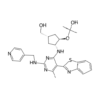 Cc1nc(NCc2ccncc2)nc(N[C@@H]2C[C@H](CO)C[C@H]2OC(C)(C)O)c1-c1nc2ccccc2s1